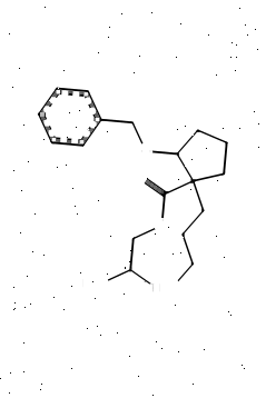 CCCCC1(C(=O)OCC(C)C)CCCC1OCc1ccccc1